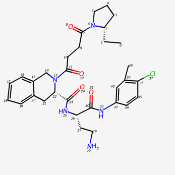 CC[C@H]1CCCN1C(=O)CCC(=O)N1Cc2ccccc2C[C@H]1C(=O)N[C@@H](CCN)C(=O)Nc1ccc(Cl)c(C)c1